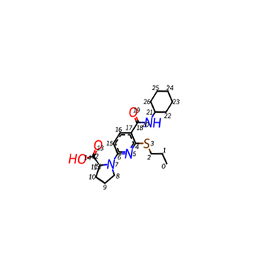 CCCSc1nc(N2CCC[C@H]2C(=O)O)ccc1C(=O)NC1CCCCC1